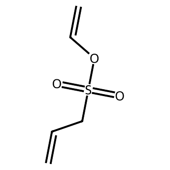 C=CCS(=O)(=O)OC=C